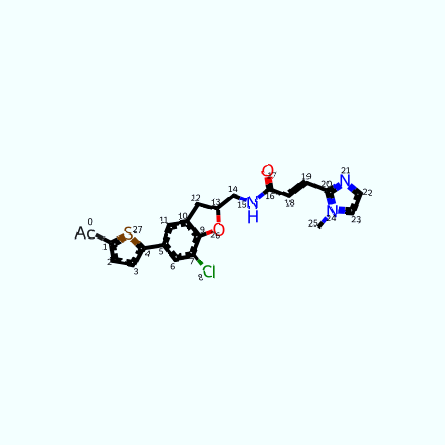 CC(=O)c1ccc(-c2cc(Cl)c3c(c2)CC(CNC(=O)C=Cc2nccn2C)O3)s1